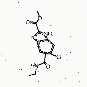 CCNC(=O)c1cc2nc(C(=O)OC)[nH]c2cc1Cl